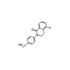 O=C(O)c1ccc(N2CCc3c(F)cccc3C2=O)cc1